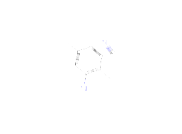 C#N.Cc1ccc(C)c(N)c1